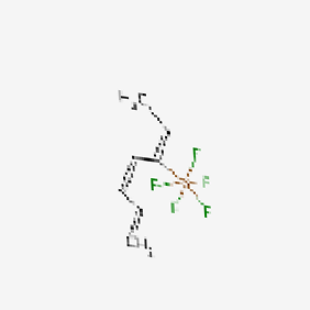 C=C/C=C\C(=C/C)S(F)(F)(F)(F)F